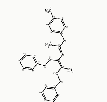 Cc1ccc(C/C(N)=C/C(OCc2ccccc2)=C(\N)OCc2ccccc2)cc1